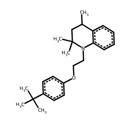 CC1CC(C)(C)N(CCOc2ccc(C(C)(C)C)cc2)c2ccccc21